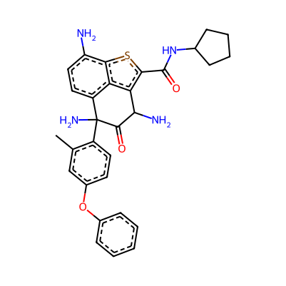 Cc1cc(Oc2ccccc2)ccc1C1(N)C(=O)C(N)c2c(C(=O)NC3CCCC3)sc3c(N)ccc1c23